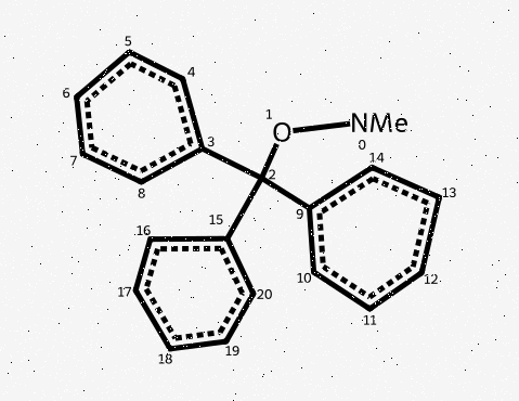 CNOC(c1ccccc1)(c1ccccc1)c1ccccc1